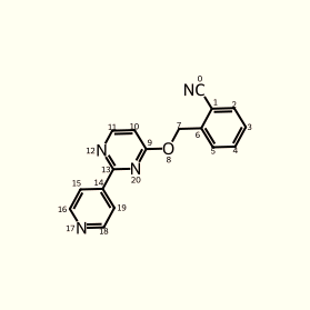 N#Cc1ccccc1COc1ccnc(-c2ccncc2)n1